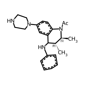 CC(=O)N1c2ccc(N3CCNCC3)cc2C(Nc2ccccc2)[C@@H](C)[C@@H]1C